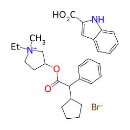 CC[N+]1(C)CCC(OC(=O)C(c2ccccc2)C2CCCC2)C1.O=C(O)c1cc2ccccc2[nH]1.[Br-]